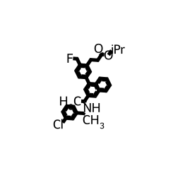 CC(C)OC(=O)CCc1cc(-c2cc(C(C)N[C@H](C)c3cccc(Cl)c3)cc3ccccc23)ccc1CF